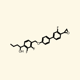 CCCC(O)c1ccc(COc2ccc(-c3ccc(C4CO4)c(F)c3)cc2)c(F)c1F